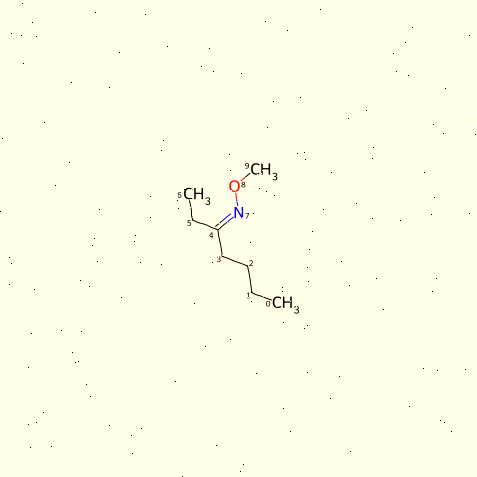 CCCCC(CC)=NOC